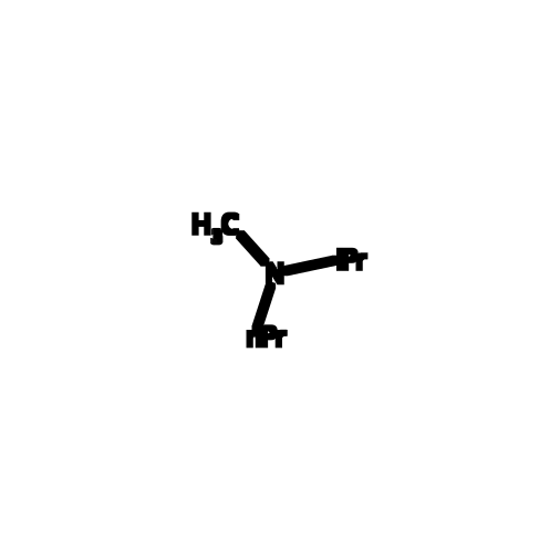 CCCN(C)C(C)C